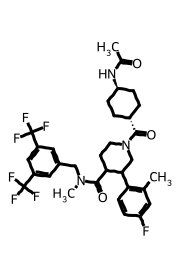 CC(=O)N[C@H]1CC[C@H](C(=O)N2CCC(C(=O)N(C)Cc3cc(C(F)(F)F)cc(C(F)(F)F)c3)C(c3ccc(F)cc3C)C2)CC1